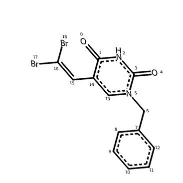 O=c1[nH]c(=O)n(Cc2ccccc2)cc1C=C(Br)Br